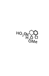 COCO[C@@H]1c2c(Cl)cccc2CC[C@H]1NC(=O)O